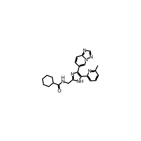 Cc1cccc(-c2[nH]c(CNC(=O)C3CCCCC3)nc2-c2ccc3ncnn3c2)n1